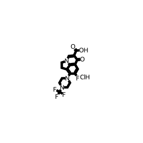 Cl.O=C(O)c1cn2c3c(c(N4CCN(C(F)(F)F)CC4)c(F)cc3c1=O)CC2